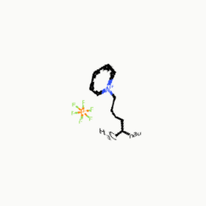 CCCCC(C)CCC[n+]1ccccc1.F[P-](F)(F)(F)(F)F